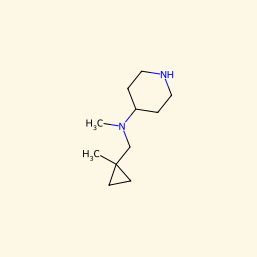 CN(CC1(C)CC1)C1CCNCC1